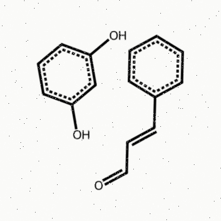 O=CC=Cc1ccccc1.Oc1cccc(O)c1